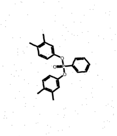 Cc1ccc(OP(=O)(Oc2ccc(C)c(C)c2)c2ccccc2)cc1C